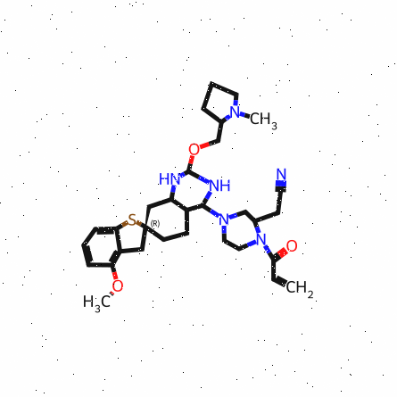 C=CC(=O)N1CCN(C2NC(OCC3CCCN3C)NC3C[C@@]4(CCC32)Cc2c(OC)cccc2S4)CC1CC#N